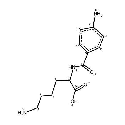 NCCCCC(NC(=O)c1ccc(N)cc1)C(=O)O